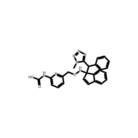 Cn1nnnc1C(c1ccccc1)C1(NOCc2cccc(NC(=O)O)n2)C=Cc2ccccc21